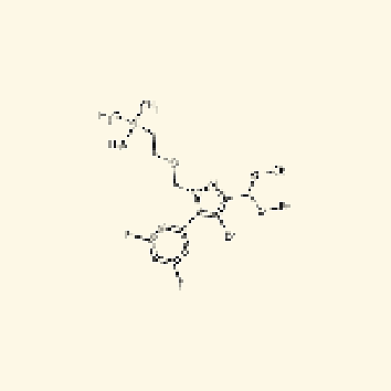 CCOC(OCC)c1nn(COCC[Si](C)(C)C)c(-c2cc(F)cc(F)c2)c1Br